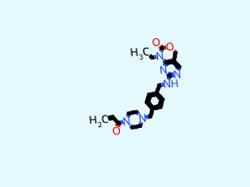 C=CC(=O)N1CCN(Cc2ccc(CNc3ncc4c(n3)N(CC)C(=O)OC4)cc2)CC1